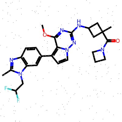 COc1nc(NC2CC(C)(C(=O)N3CCC3)C2)nn2ccc(-c3ccc4nc(C)n(CC(F)F)c4c3)c12